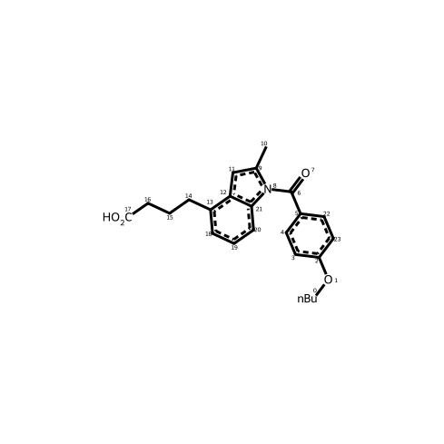 CCCCOc1ccc(C(=O)n2c(C)cc3c(CCCC(=O)O)cccc32)cc1